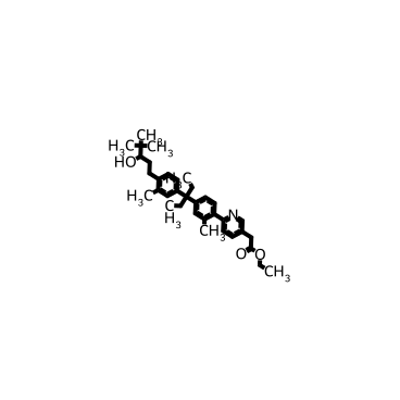 CCOC(=O)Cc1ccc(-c2ccc(C(CC)(CC)c3ccc(CCC(O)C(C)(C)C)c(C)c3)cc2C)nc1